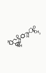 CN1CC(NCc2ccc(NC(=O)/C=C/c3cnccc3-c3cn[nH]c3)cc2)CCC1=O